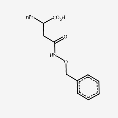 CCCC(CC(=O)NOCc1ccccc1)C(=O)O